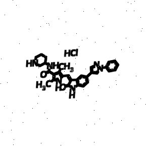 Cc1[nH]c(C=C2C(=O)Nc3ccc(-c4cnn(-c5ccccc5)c4)cc32)c(C)c1C(=O)NC1CCCNC1.Cl